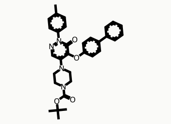 Cc1ccc(-n2ncc(N3CCN(C(=O)OC(C)(C)C)CC3)c(Oc3ccc(-c4ccccc4)cc3)c2=O)cc1